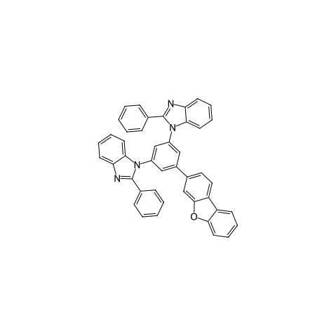 c1ccc(-c2nc3ccccc3n2-c2cc(-c3ccc4c(c3)oc3ccccc34)cc(-n3c(-c4ccccc4)nc4ccccc43)c2)cc1